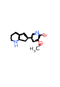 COc1cc(C2=CC3CCCNC3C2)cnc1Br